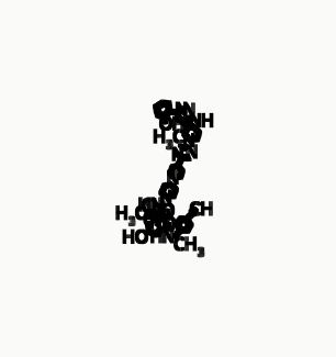 C#Cc1ccc([C@H](C)NC(=O)[C@@H]2C[C@@H](O)CN2C(=O)[C@@H](NC(=O)N2CCC(N3CCC(c4cnc(N5CCc6[nH]c7nnc(-c8ccccc8O)cc7c6[C@H]5C)cn4)CC3)CC2)C(C)(C)C)cc1